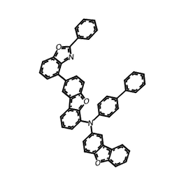 c1ccc(-c2ccc(N(c3ccc4oc5ccccc5c4c3)c3cccc4c3oc3ccc(-c5cccc6oc(-c7ccccc7)nc56)cc34)cc2)cc1